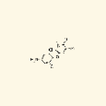 CC(C)c1cc(Oc2c(Cl)cc(N)cc2Cl)cn(C)c1=O